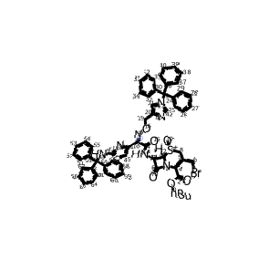 CCCCOC(=O)C1=C(CBr)C[S+]([O-])[C@@H]2[C@H](NC(=O)/C(=N\OCc3cn(C(c4ccccc4)(c4ccccc4)c4ccccc4)cn3)c3csc(NC(c4ccccc4)(c4ccccc4)c4ccccc4)n3)C(=O)N12